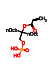 C=CC(=O)OC(CCCCCCCC)(CCCCCCCC)COP(=O)(O)O